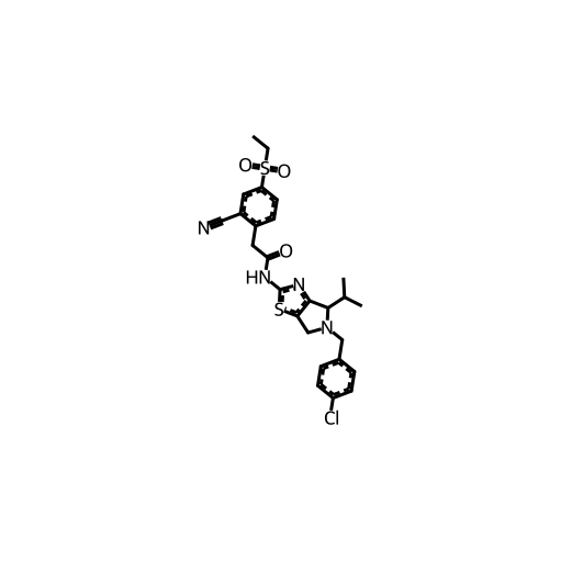 CCS(=O)(=O)c1ccc(CC(=O)Nc2nc3c(s2)CN(Cc2ccc(Cl)cc2)C3C(C)C)c(C#N)c1